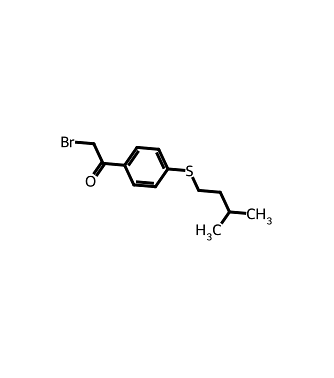 CC(C)CCSc1ccc(C(=O)CBr)cc1